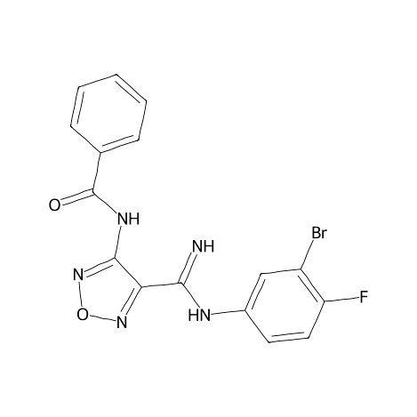 N=C(Nc1ccc(F)c(Br)c1)c1nonc1NC(=O)c1ccccc1